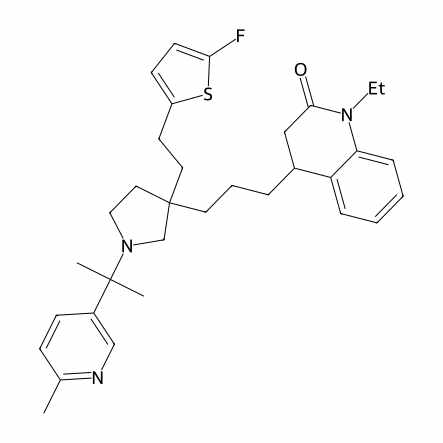 CCN1C(=O)CC(CCCC2(CCc3ccc(F)s3)CCN(C(C)(C)c3ccc(C)nc3)C2)c2ccccc21